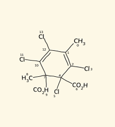 CC1=C(Cl)C(Cl)(C(=O)O)C(C)(C(=O)O)C(Cl)=C1Cl